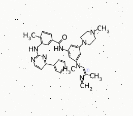 C=N/C(C)=C\N(C)c1cc(NC(=O)c2ccc(C)c(Nc3nccc(-c4ccccc4)n3)c2)cc(N2CCN(C)CC2)c1